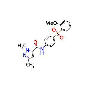 COc1ccccc1S(=O)(=O)c1ccc(NC(=O)c2cc(C(F)(F)F)nn2C)cc1